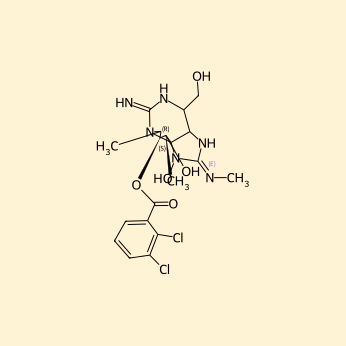 C/N=C1\NC2C(CO)NC(=N)N3C(C)[C@H](OC(=O)c4cccc(Cl)c4Cl)[C@](C)(O)C23N1O